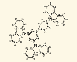 C1=Cc2c(n(-c3ccc(-c4cc(-n5c6ccccc6c6ccccc65)cc(-n5c6ccccc6c6ccccc65)n4)cc3)c3ccccc23)CC1